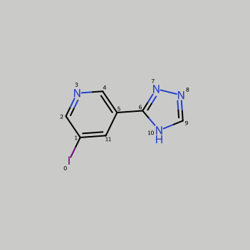 Ic1cncc(-c2nnc[nH]2)c1